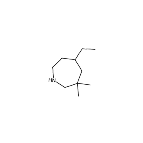 CCC1CCNCC(C)(C)C1